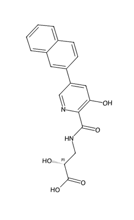 O=C(NC[C@@H](O)C(=O)O)c1ncc(-c2ccc3ccccc3c2)cc1O